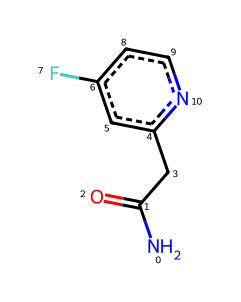 NC(=O)Cc1cc(F)ccn1